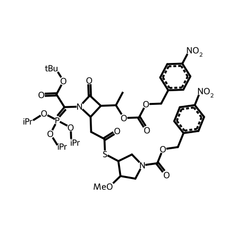 COC1CN(C(=O)OCc2ccc([N+](=O)[O-])cc2)CC1SC(=O)CC1C(C(C)OC(=O)OCc2ccc([N+](=O)[O-])cc2)C(=O)N1C(C(=O)OC(C)(C)C)=P(OC(C)C)(OC(C)C)OC(C)C